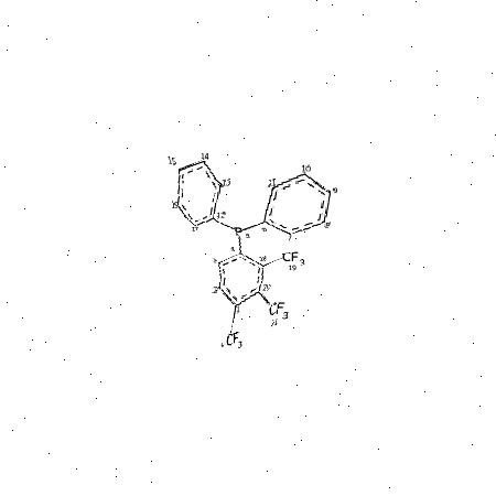 FC(F)(F)c1ccc(P(c2ccccc2)c2ccccc2)c(C(F)(F)F)c1C(F)(F)F